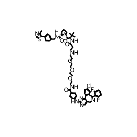 Cc1ncsc1-c1ccc(CNC(=O)[C@@H]2CCCN2C(=O)C(NC(=O)CCNCCOCCOCCOCCNC(=O)c2ccc(Nc3ncc4c(n3)-c3ccc(Cl)cc3C(c3c(F)cccc3F)=NC4)cc2)C(C)(C)C)cc1